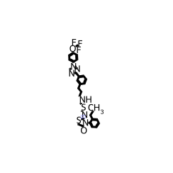 CCCc1ccccc1N1C(=O)CS/C1=N\CSCNCCCc1cccc(-c2ncn(-c3ccc(OC(F)(F)F)cc3)n2)c1